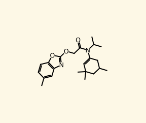 Cc1ccc2oc(OCC(=O)N(C3=CC(C)(C)CC(C)C3)C(C)C)nc2c1